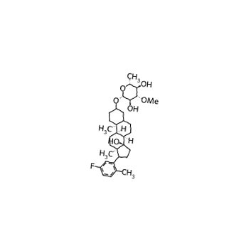 CO[C@@H]1[C@@H](O)[C@H](OC2CC[C@@]3(C)C(CC[C@@H]4[C@H]3CC[C@]3(C)C(c5cc(F)ccc5C)CC[C@@]43O)C2)O[C@H](C)[C@H]1O